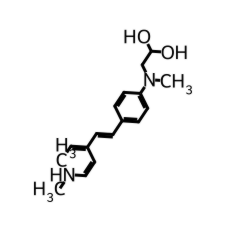 C/C=C(\C=C/NC)/C=C/c1ccc(N(C)CC(O)O)cc1